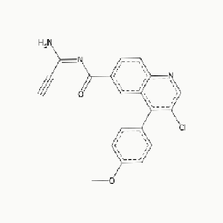 C#C/C(N)=N\C(=O)c1ccc2ncc(Cl)c(-c3ccc(OC)cc3)c2c1